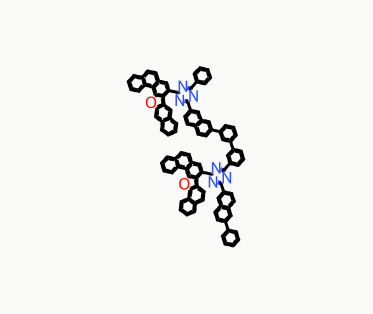 c1ccc(-c2ccc3cc(-c4nc(-c5cccc(-c6cccc(-c7ccc8ccc(-c9nc(-c%10ccccc%10)nc(-c%10cc%11ccc%12ccccc%12c%11c%11oc%12cc%13ccccc%13cc%12c%10%11)n9)cc8c7)c6)c5)nc(-c5cc6ccc7ccccc7c6c6oc7c8ccccc8ccc7c56)n4)ccc3c2)cc1